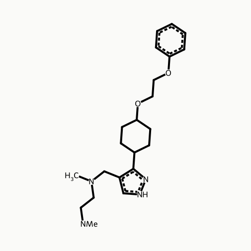 CNCCN(C)Cc1c[nH]nc1C1CCC(OCCOc2ccccc2)CC1